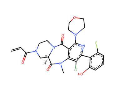 C=CC(=O)N1CCN2C(=O)c3c(N4CCOCC4)nc(-c4c(O)cccc4F)c(Cl)c3N(C)C(=O)[C@H]2C1